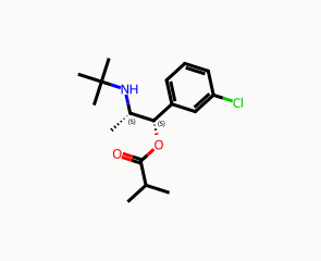 CC(C)C(=O)O[C@@H](c1cccc(Cl)c1)[C@H](C)NC(C)(C)C